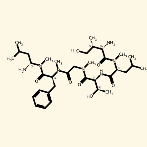 CC[C@H](C)[C@H](N)C(=O)N(C)[C@@H](CC(C)C)C(=O)N[C@H](C(=O)N(C)CC(=O)N(C)[C@@H](Cc1ccccc1)C(=O)N(C)[C@H](N)CC(C)C)[C@@H](C)O